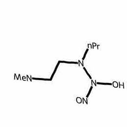 CCCN(CCNC)N(O)N=O